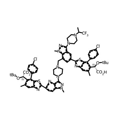 Cc1cc2nc(-c3cc(CN4CCN(c5nn(C)c6ccc(-c7nc8cc(C)c([C@H](OC(C)(C)C)C(=O)O)c(-c9ccc(Cl)cc9)c8s7)nc56)CC4)c4c(c3)c(N3CCN(C(C)C(F)(F)F)CC3)nn4C)sc2c(-c2ccc(Cl)cc2)c1[C@H](OC(C)(C)C)C(=O)O